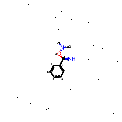 CN(C)OC(=N)c1ccccc1